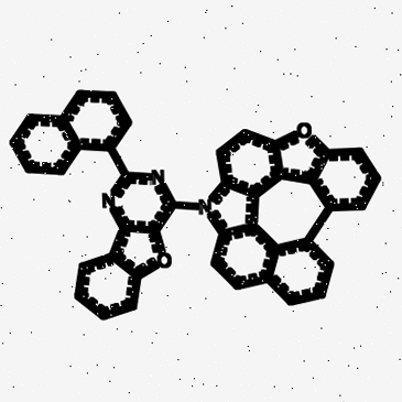 c1ccc2c(-c3nc(-n4c5ccc6cccc7c6c5c5c6c(ccc54)oc4cccc-7c46)c4oc5ccccc5c4n3)cccc2c1